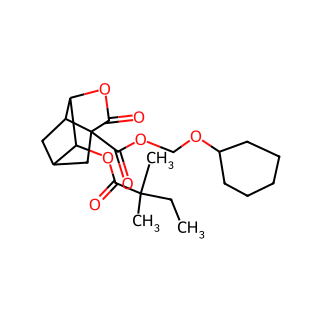 CCC(C)(C)C(=O)OC1C2CC3C1OC(=O)C3(C(=O)OCOC1CCCCC1)C2